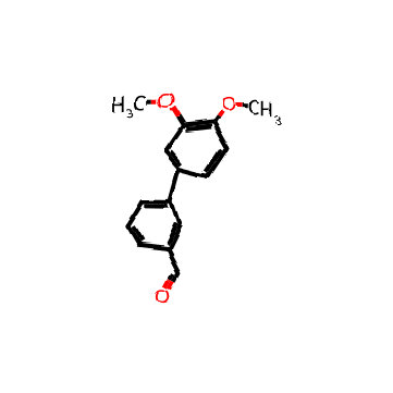 COc1ccc(-c2cccc(C=O)c2)cc1OC